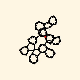 c1ccc(N(c2ccccc2)c2cc3c(c4ccccc24)-c2ccccc2C32c3ccccc3-c3ccc(N(c4ccccc4)c4cccc5c4sc4ccccc45)cc32)cc1